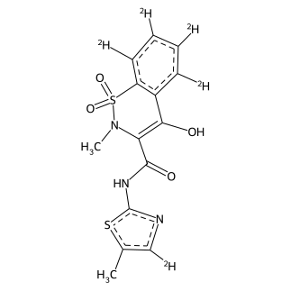 [2H]c1nc(NC(=O)C2=C(O)c3c([2H])c([2H])c([2H])c([2H])c3S(=O)(=O)N2C)sc1C